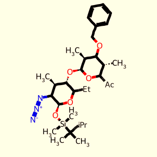 CCC1O[C@@H](O[Si](C)(C)C(C)(C)C(C)C)C(N=[N+]=[N-])[C@@H](C)[C@@H]1O[C@@H]1OC(C(C)=O)[C@@H](C)C(OCc2ccccc2)[C@@H]1C